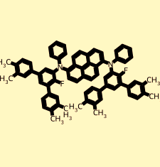 Cc1ccc(-c2cc(-c3ccc(C)c(C)c3)c(F)c(N(c3ccccc3)c3ccc4ccc5c(N(c6ccccc6)c6cc(-c7ccc(C)c(C)c7)cc(-c7ccc(C)c(C)c7)c6F)ccc6ccc3c4c65)c2)cc1C